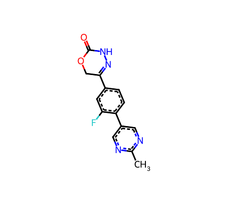 Cc1ncc(-c2ccc(C3=NNC(=O)OC3)cc2F)cn1